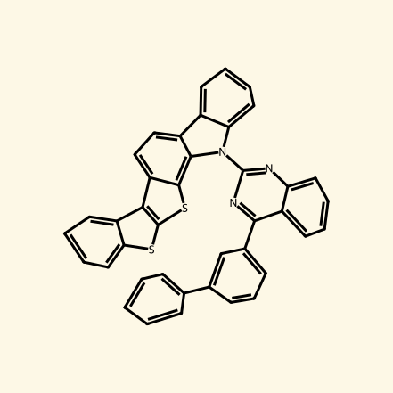 c1ccc(-c2cccc(-c3nc(-n4c5ccccc5c5ccc6c(sc7sc8ccccc8c76)c54)nc4ccccc34)c2)cc1